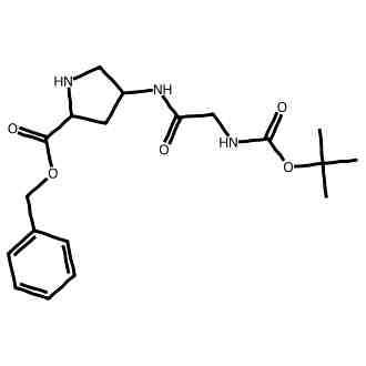 CC(C)(C)OC(=O)NCC(=O)NC1CNC(C(=O)OCc2ccccc2)C1